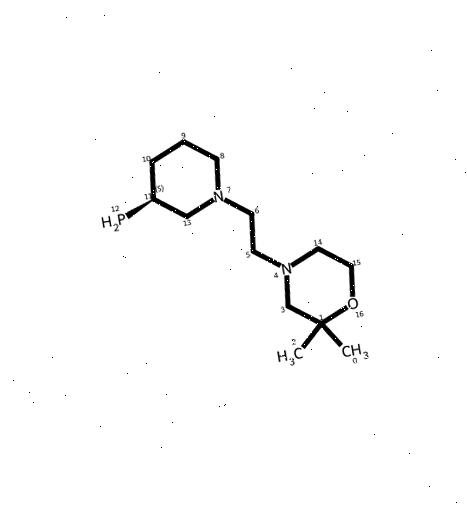 CC1(C)CN(CCN2CCC[C@H](P)C2)CCO1